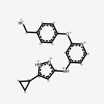 N#CCc1ccc(Oc2cc(Nc3cc(C4CC4)[nH]n3)ccn2)cc1